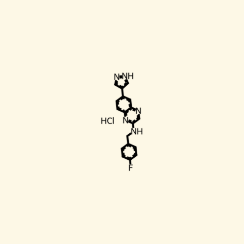 Cl.Fc1ccc(CNc2cnc3cc(-c4cn[nH]c4)ccc3n2)cc1